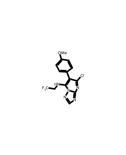 COc1ccc(-c2c(Cl)nc3ncnn3c2NCC(F)(F)F)cc1